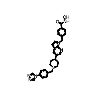 O=C(NO)c1ccc(Cn2ccc3cc(C4CCN(Cc5ccc(-n6cnnc6)cc5)CC4)cnc32)cc1